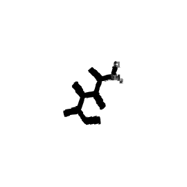 C=CC(=C)C(=C)C(=C)C(=C)[SiH2]Cl